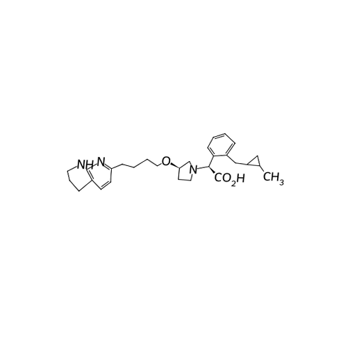 CC1CC1Cc1ccccc1[C@@H](C(=O)O)N1CC[C@@H](OCCCCc2ccc3c(n2)NCCC3)C1